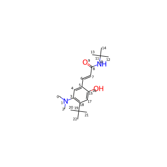 CN(C)c1cc(/C=C/C(=O)NC(C)(C)C)c(O)cc1C(C)(C)C